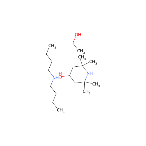 CC1(C)CC(O)CC(C)(C)N1.CCCCNCCCC.CCO